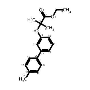 CCOC(=O)C(C)(C)Oc1cccc(-c2ccc(C)cc2)c1